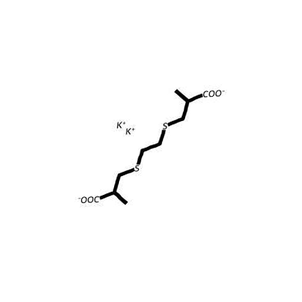 CC(CSCCSCC(C)C(=O)[O-])C(=O)[O-].[K+].[K+]